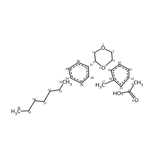 C1COCCO1.CC(=O)O.CCCCCCC.Cc1ccccc1.c1ccccc1